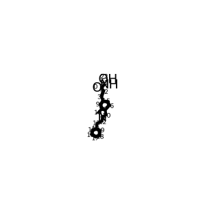 O=C(/C=C/c1ccc2c(c1)CN(CCc1ccccc1)C2)NO